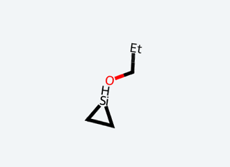 CCCO[SiH]1CC1